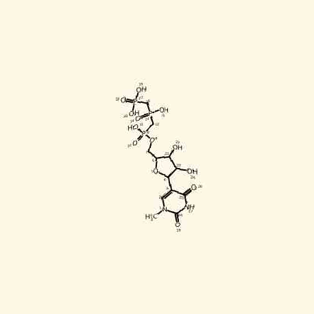 Cn1cc(C2OC(COP(=O)(O)CP(=O)(O)CP(=O)(O)O)C(O)C2O)c(=O)[nH]c1=O